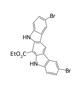 CCOC(=O)c1c2[nH]c3ccc(Br)cc3c2cc2c1[nH]c1ccc(Br)cc12